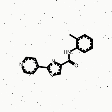 Cc1ccccc1NC(=O)c1csc(-c2ccncc2)n1